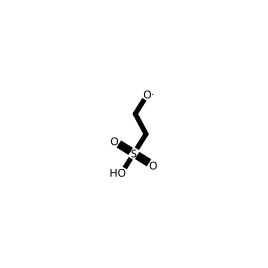 [O]CCS(=O)(=O)O